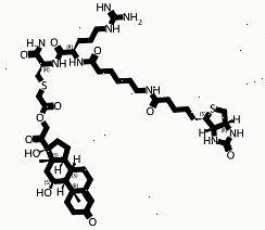 C[C@]12CCC(=O)C=C1CC[C@@H]1[C@@H]2[C@@H](O)C[C@@]2(C)[C@H]1CC[C@]2(O)C(=O)COC(=O)CSC[C@H](NC(=O)[C@@H](CCCNC(=N)N)NC(=O)CCCCCNC(=O)CCCC[C@@H]1SC[C@@H]2NC(=O)N[C@@H]21)C(N)=O